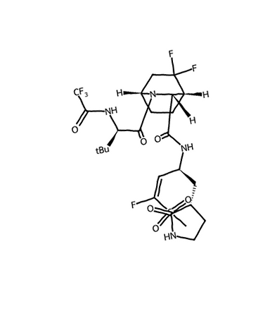 CC(C)(C)[C@@H](NC(=O)C(F)(F)F)C(=O)N1[C@@H]2CC[C@H]([C@@H]1C(=O)N[C@H](/C=C(/F)S(C)(=O)=O)C[C@@H]1CCNC1=O)C(F)(F)C2